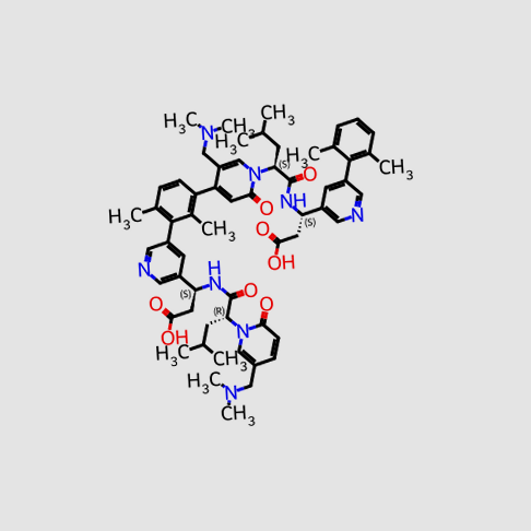 Cc1cccc(C)c1-c1cncc([C@H](CC(=O)O)NC(=O)[C@H](CC(C)C)n2cc(CN(C)C)c(-c3ccc(C)c(-c4cncc([C@H](CC(=O)O)NC(=O)[C@@H](CC(C)C)n5cc(CN(C)C)ccc5=O)c4)c3C)cc2=O)c1